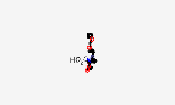 O=C(O)Cn1cc(C2CCC(=O)O2)c2cccc(/C=C/c3ccc(OCCCCOc4ccccc4)cc3)c21